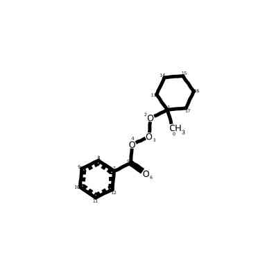 CC1(OOOC(=O)c2ccccc2)CCCCC1